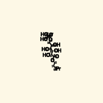 CC(C)CCOC(=O)[C@H](O)[C@@H](O)[C@H](O)[C@H](O)COP(=O)(O)O